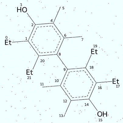 CCc1c(O)c(C)c(C)c(-c2c(C)c(C)c(O)c(CC)c2CC)c1CC